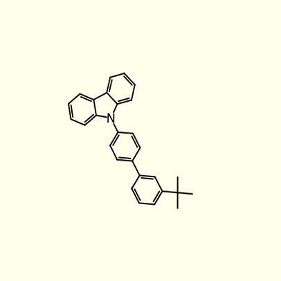 CC(C)(C)c1cccc(-c2ccc(-n3c4ccccc4c4ccccc43)cc2)c1